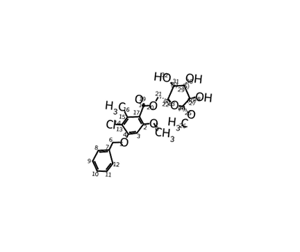 COc1cc(OCc2ccccc2)c(Cl)c(C)c1C(=O)OC[C@H]1O[C@@H](OC)[C@H](O)[C@@H](O)[C@@H]1O